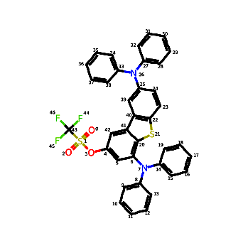 O=S(=O)(Oc1cc(N(c2ccccc2)c2ccccc2)c2sc3ccc(N(c4ccccc4)c4ccccc4)cc3c2c1)C(F)(F)F